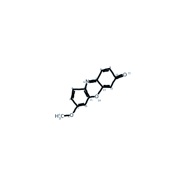 COc1ccc2nc3ccc(=O)cc-3oc2c1